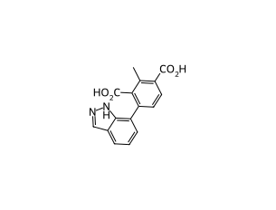 Cc1c(C(=O)O)ccc(-c2cccc3cn[nH]c23)c1C(=O)O